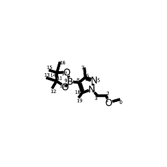 COCCn1nc(C)c(B2OC(C)(C)C(C)(C)O2)c1C